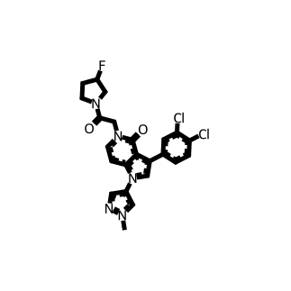 Cn1cc(-n2cc(-c3ccc(Cl)c(Cl)c3)c3c(=O)n(CC(=O)N4CCC(F)C4)ccc32)cn1